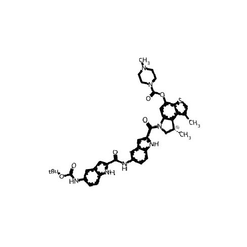 Cc1csc2c(OC(=O)N3CCN(C)CC3)cc3c(c12)[C@H](C)CN3C(=O)c1cc2cc(NC(=O)c3cc4cc(NC(=O)OC(C)(C)C)ccc4[nH]3)ccc2[nH]1